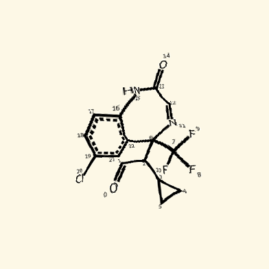 O=CC(C1CC1)C1(C(F)(F)F)N=CC(=O)Nc2ccc(Cl)cc21